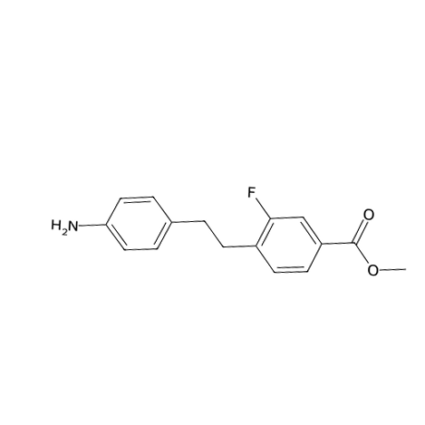 COC(=O)c1ccc(CCc2ccc(N)cc2)c(F)c1